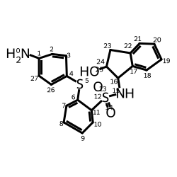 Nc1ccc(Sc2ccccc2S(=O)(=O)NC2c3ccccc3CC2O)cc1